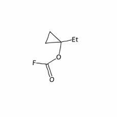 CCC1(OC(=O)F)CC1